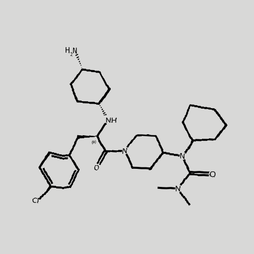 CN(C)C(=O)N(C1CCCCC1)C1CCN(C(=O)[C@@H](Cc2ccc(Cl)cc2)N[C@H]2CC[C@@H](N)CC2)CC1